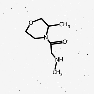 CNCC(=O)N1CCOCC1C